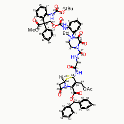 CC[N+]1(c2ccccc2NC(=O)OCC(C(=O)OC)(c2ccccc2)c2ccccc2NC(=O)OC(C)(C)C)CCN(C(=O)NCC(=O)N[C@H]2S[C@H]3CC(=O)N3C(C(=O)OC(c3ccccc3)c3ccccc3)=C2COC(C)=O)C(=O)C1=O